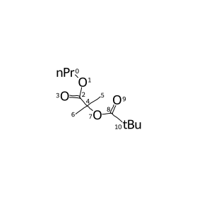 CCCOC(=O)C(C)(C)OC(=O)C(C)(C)C